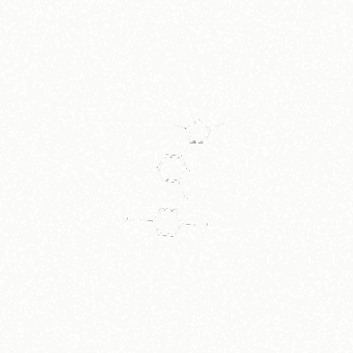 CCc1nc(C)c(-c2ccnc(Nc3cc(OC)ccc3OC)n2)s1